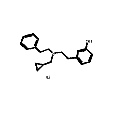 Cl.Oc1cccc(CCN(CCc2ccccc2)CC2CC2)c1